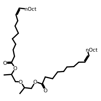 CCCCCCCC/C=C\CCCCCCCC(=O)OCC(C)OCC(C)OC(=O)CCCCCCC/C=C\CCCCCCCC